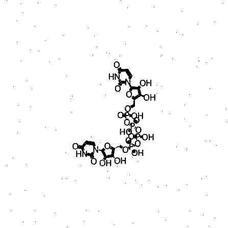 O=c1ccn([C@@H]2O[C@H](COP(=O)(O)OP(=O)(O)OP(=O)(O)OP(=O)(O)OC[C@H]3O[C@@H](n4ccc(=O)[nH]c4=O)C(O)[C@H]3O)[C@H](O)C2O)c(=O)[nH]1